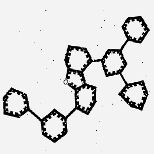 c1ccc(-c2cccc(-c3cccc4c3oc3cccc(-c5cc(-c6ccccc6)cc(-c6ccccc6)c5)c34)c2)cc1